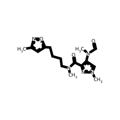 Cc1cc(CCCCN(C)C(=O)c2nn(C)cc2N(C)C=O)on1